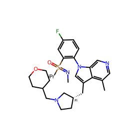 CN=S(=O)(c1cc(F)ccc1-n1cc(C[C@@H]2CCN(CC3CCOCC3)C2)c2c(C)cncc21)C(C)C